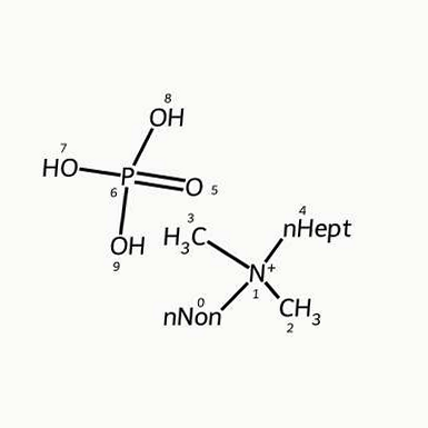 CCCCCCCCC[N+](C)(C)CCCCCCC.O=P(O)(O)O